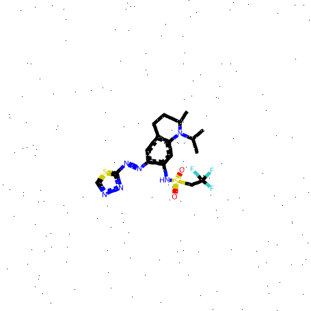 CC(C)N1c2cc(NS(=O)(=O)CC(F)(F)F)c(N=Nc3nncs3)cc2CCC1C